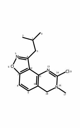 CC(C)Cc1noc2ccc3c(c12)N=C(Cl)N(C)C3